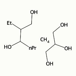 C.CCCC(O)C(CC)CO.OCC(O)CO